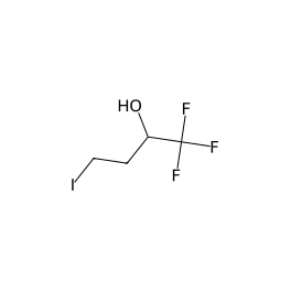 OC(CCI)C(F)(F)F